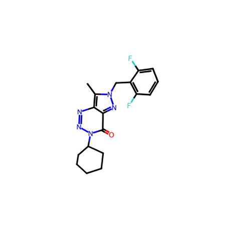 Cc1c2nnn(C3CCCCC3)c(=O)c2nn1Cc1c(F)cccc1F